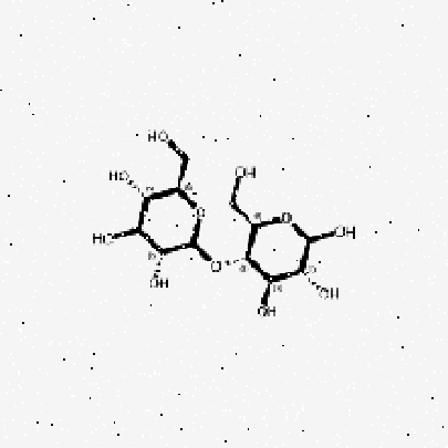 OC[C@H]1OC(O)[C@H](O)[C@@H](O)[C@@H]1OC1O[C@H](CO)[C@@H](O)C(O)[C@H]1O